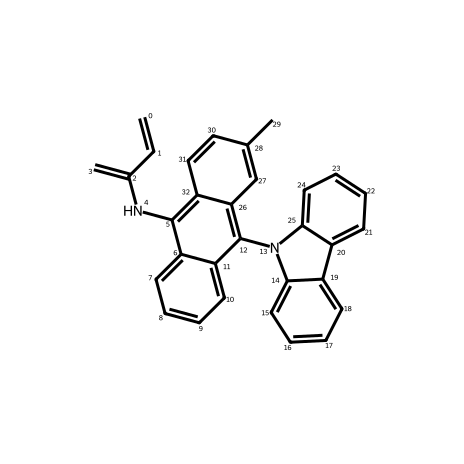 C=CC(=C)Nc1c2ccccc2c(-n2c3ccccc3c3ccccc32)c2cc(C)ccc12